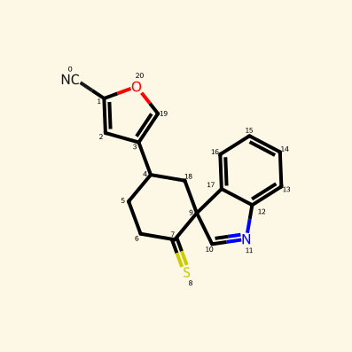 N#Cc1cc(C2CCC(=S)C3(C=Nc4ccccc43)C2)co1